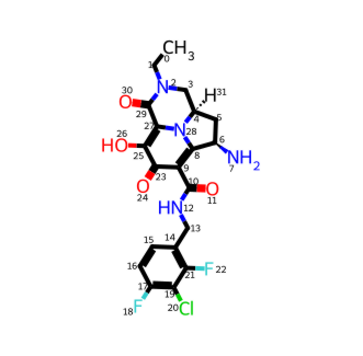 CCN1C[C@H]2C[C@@H](N)c3c(C(=O)NCc4ccc(F)c(Cl)c4F)c(=O)c(O)c(n32)C1=O